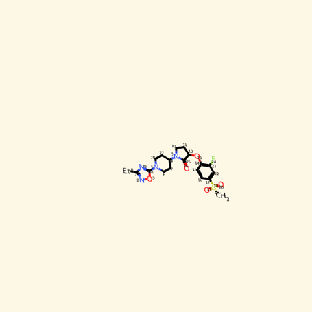 CCc1noc(N2CCC(N3CCC(Oc4ccc(S(C)(=O)=O)cc4F)C3=O)CC2)n1